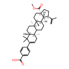 C=C(C)[C@@H]1CC[C@]2(C(=O)OC)CC[C@]3(C)[C@H](CCC4[C@@]5(C)CC=C(c6ccc(C(=O)O)cc6)C(C)(C)[C@@H]5CC[C@]43C)[C@@H]12